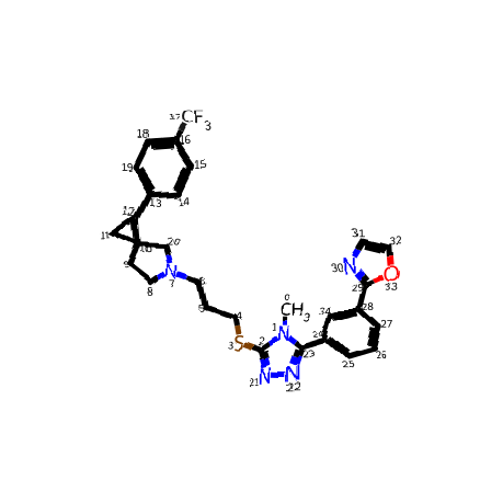 Cn1c(SCCCN2CCC3(CC3c3ccc(C(F)(F)F)cc3)C2)nnc1-c1cccc(-c2ncco2)c1